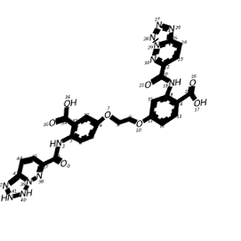 O=C(Nc1ccc(OCCOc2ccc(C(=O)O)c(NC(=O)c3ccc4nnnn4n3)c2)cc1C(=O)O)C1=NN2NNN=C2C=C1